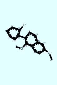 COc1ccc2c(OC)c(-c3ccccc3F)ccc2c1